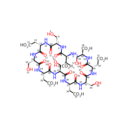 N[C@@H](CC(=O)O)C(=O)N[C@@H](CO)C(=O)N[C@@H](CC(=O)O)C(=O)N[C@@H](CO)C(=O)N[C@@H](CC(=O)O)C(=O)N[C@@H](CO)C(=O)N[C@@H](CC(=O)O)C(=O)N[C@@H](CO)C(=O)N[C@@H](CC(=O)O)C(=O)N[C@@H](CO)C(=O)O